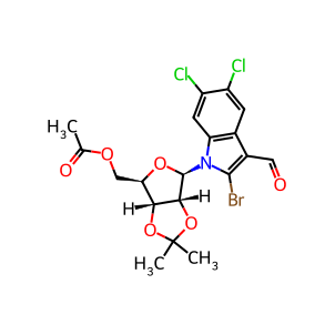 CC(=O)OC[C@H]1O[C@@H](n2c(Br)c(C=O)c3cc(Cl)c(Cl)cc32)[C@@H]2OC(C)(C)O[C@@H]21